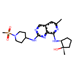 Cc1cc2cnc(NC3CCN(S(C)(=O)=O)CC3)nc2c(N[C@H]2CCC[C@]2(C)O)n1